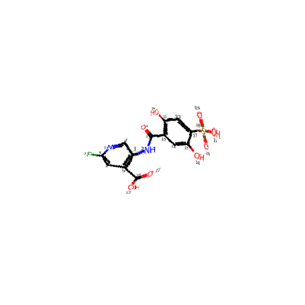 O=C(Nc1cnc(F)cc1C(=O)O)c1cc(O)c(S(=O)(=O)O)cc1O